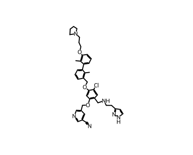 Cc1c(COc2cc(OCc3cncc(C#N)c3)c(CNCCc3cc[nH]n3)cc2Cl)cccc1-c1cccc(OCCCN2CCCC2)c1C